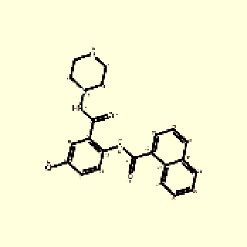 O=C(NN1CCOCC1)c1cc(Cl)ccc1NC(=O)c1cccc2ccccc12